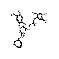 O=C(CC[C@H](NC(=O)OCc1ccccc1)C(=O)Oc1cc(Cl)c(Cl)cc1Cl)Oc1cc(Cl)c(Cl)cc1Cl